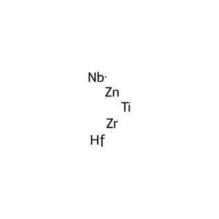 [Hf].[Nb].[Ti].[Zn].[Zr]